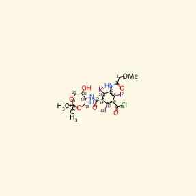 COCC(=O)Nc1c(I)c(C(=O)Cl)c(I)c(C(=O)NC2COC(C)(C)OCC2O)c1I